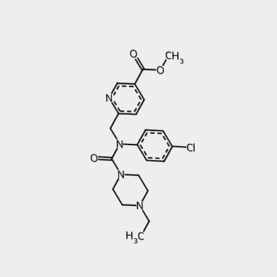 CCN1CCN(C(=O)N(Cc2ccc(C(=O)OC)cn2)c2ccc(Cl)cc2)CC1